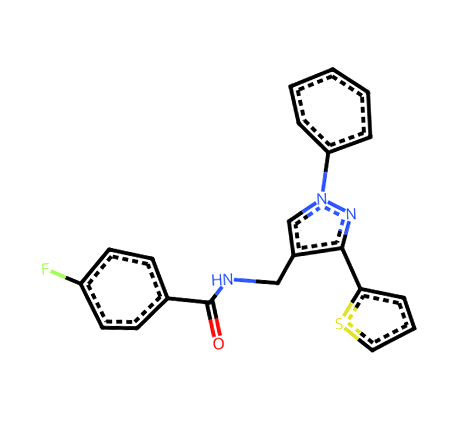 O=C(NCc1cn(-c2ccccc2)nc1-c1cccs1)c1ccc(F)cc1